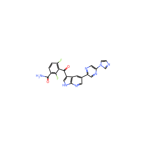 NC(=O)c1ccc(F)c(C(=O)c2c[nH]c3ncc(-c4cnc(-n5ccnc5)cn4)cc23)c1F